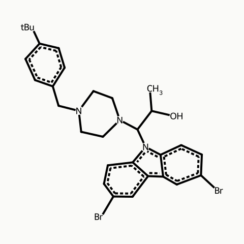 CC(O)C(N1CCN(Cc2ccc(C(C)(C)C)cc2)CC1)n1c2ccc(Br)cc2c2cc(Br)ccc21